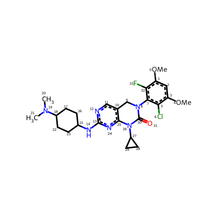 COc1cc(OC)c(Cl)c(N2Cc3cnc(NC4CCC(N(C)C)CC4)nc3N(C3CC3)C2=O)c1F